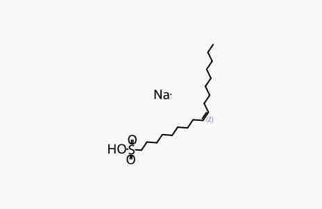 CCCCCCCC/C=C\CCCCCCCCS(=O)(=O)O.[Na]